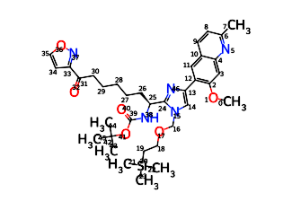 COc1cc2nc(C)ccc2cc1-c1cn(COCC[Si](C)(C)C)c([C@H](CCCCCC(=O)c2ccon2)NC(=O)OC(C)(C)C)n1